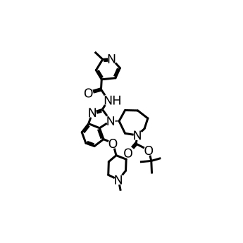 Cc1cc(C(=O)Nc2nc3cccc(OC4CCN(C)CC4)c3n2[C@@H]2CCCCN(C(=O)OC(C)(C)C)C2)ccn1